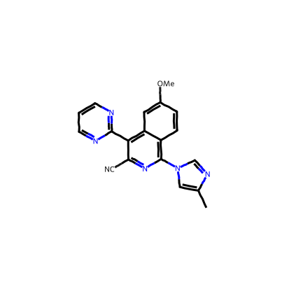 COc1ccc2c(-n3cnc(C)c3)nc(C#N)c(-c3ncccn3)c2c1